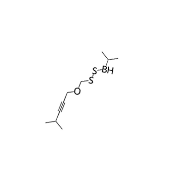 CC(C)BSSCOCC#CC(C)C